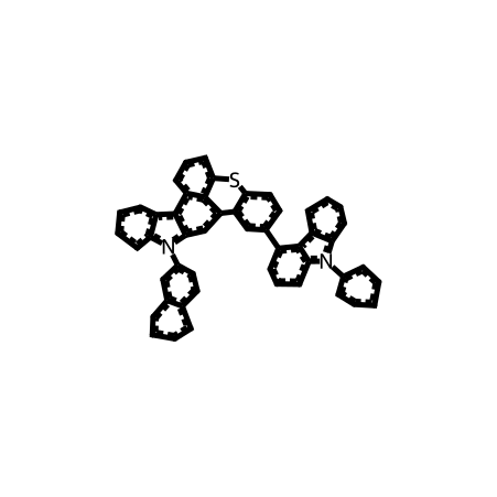 c1ccc(-n2c3ccccc3c3c(-c4ccc5c(c4)-c4cc6c(c7cccc(c47)S5)c4ccccc4n6-c4ccc5ccccc5c4)cccc32)cc1